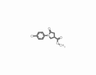 COC(=O)C1CC(=O)N(c2ccc(Cl)cc2)C1